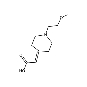 COCCN1CCC(=CC(=O)O)CC1